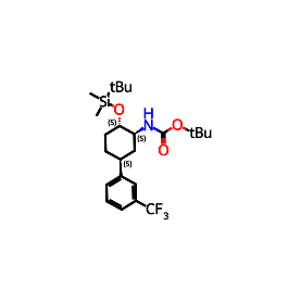 CC(C)(C)OC(=O)N[C@H]1C[C@@H](c2cccc(C(F)(F)F)c2)CC[C@@H]1O[Si](C)(C)C(C)(C)C